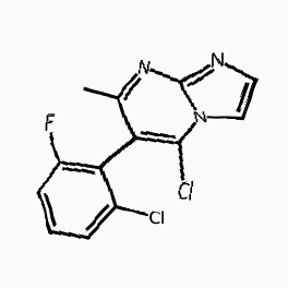 Cc1nc2nccn2c(Cl)c1-c1c(F)cccc1Cl